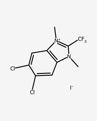 Cn1c(C(F)(F)F)[n+](C)c2cc(Cl)c(Cl)cc21.[I-]